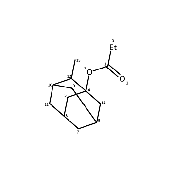 CCC(=O)OC12CC3CC(CC(C3)C1C)C2